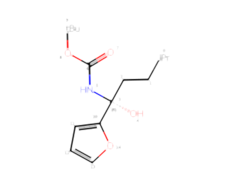 CC(C)CC[C@](O)(NC(=O)OC(C)(C)C)c1ccco1